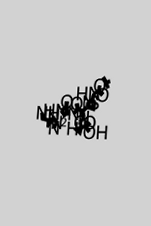 CC(C)(C)OC(=O)Nc1nc(C(=NOC2(C(=O)O)CC2)C(=O)N[C@@H]2C(=O)N[C@H]2Cn2ncc(CN)n2)cs1